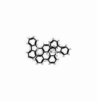 N#Cc1ccc(-n2c3ccccc3c3ccccc32)c(-c2ccccc2-c2cccc(-n3c4ccccc4c4ccccc43)c2C#N)c1